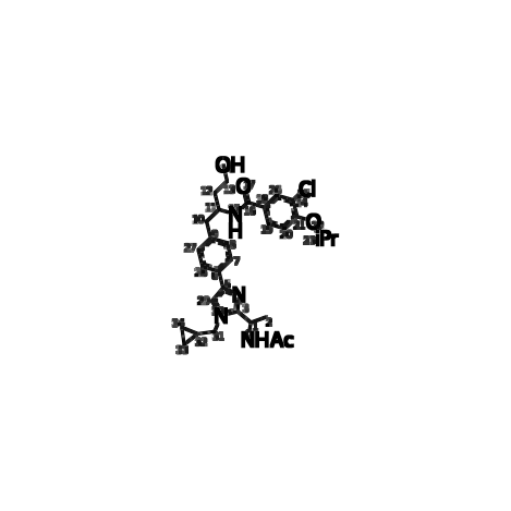 CC(=O)NC(C)c1nc(-c2ccc(CC(CCO)NC(=O)c3ccc(OC(C)C)c(Cl)c3)cc2)cn1CC1CC1